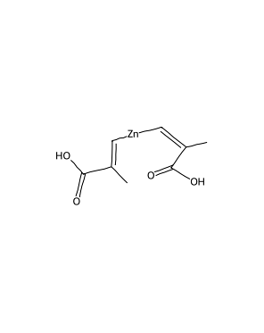 CC(=[CH][Zn][CH]=C(C)C(=O)O)C(=O)O